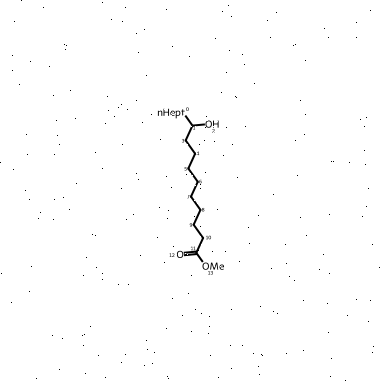 CCCCCCCC(O)CCCCCCCCC(=O)OC